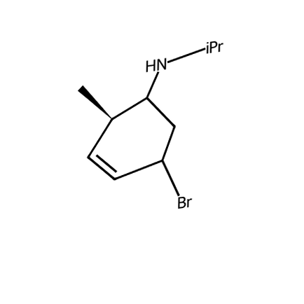 CC(C)NC1CC(Br)C=C[C@H]1C